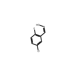 O/N=C\c1cc(Cl)ccc1F